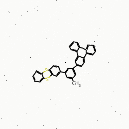 Cc1cc(-c2ccc3c(c2)Sc2ccccc2S3)cc(-c2ccc3c4ccccc4c4ccccc4c3c2)c1